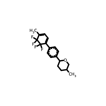 CC1=CC=C(c2ccc(C3CCC(C)CO3)cc2)C(F)(F)C1(F)F